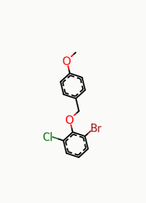 COc1ccc(COc2c(Cl)cccc2Br)cc1